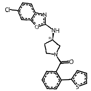 O=C(c1ccccc1-c1cccs1)N1CC[C@@H](Nc2nc3ccc(Cl)cc3o2)C1